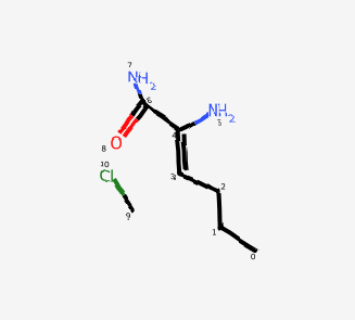 CCC/C=C(\N)C(N)=O.CCl